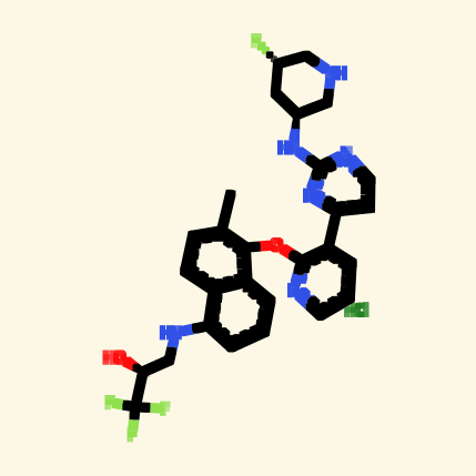 Cc1ccc2c(NC[C@H](O)C(F)(F)F)cccc2c1Oc1ncccc1-c1ccnc(N[C@@H]2CNC[C@@H](F)C2)n1.Cl